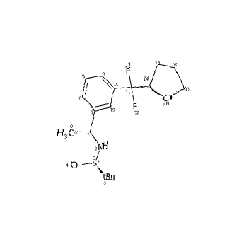 C[C@@H](N[S@+]([O-])C(C)(C)C)c1cccc(C(F)(F)C2CCCO2)c1